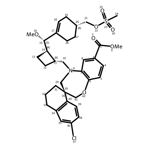 COC(=O)c1ccc2c(c1)N(C[C@@H]1CC[C@H]1[C@H](OC)C1=CC[C@H](COS(C)(=O)=O)CC1)C[C@@]1(CCCc3cc(Cl)ccc31)CO2